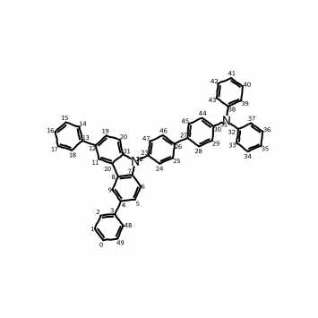 c1ccc(-c2ccc3c(c2)c2cc(-c4ccccc4)ccc2n3-c2ccc(-c3ccc(N(c4ccccc4)c4ccccc4)cc3)cc2)cc1